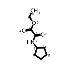 CCOC(=O)C(=O)NC1CCCC1